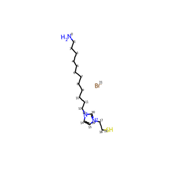 NCCCCCCCCCCCCn1cc[n+](CCS)c1.[Br-]